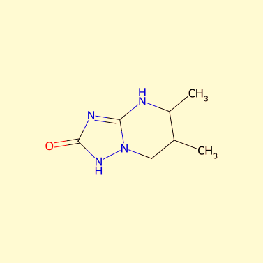 CC1Cn2[nH]c(=O)nc2NC1C